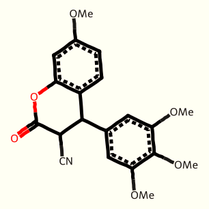 COc1ccc2c(c1)OC(=O)C(C#N)C2c1cc(OC)c(OC)c(OC)c1